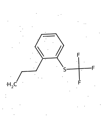 [CH2]CCc1ccccc1SC(F)(F)F